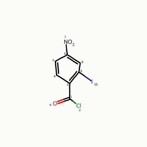 O=C(Cl)c1ccc([N+](=O)[O-])cc1I